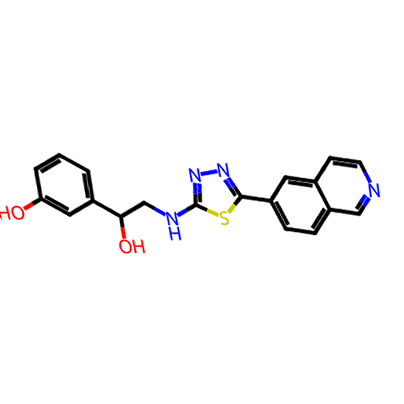 Oc1cccc(C(O)CNc2nnc(-c3ccc4cnccc4c3)s2)c1